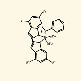 CCC[CH2][Ti]([CH2]CCC)([CH]1C(C)=Cc2c(C(C)C)cc(C(C)C)cc21)([CH]1C(C)=Cc2c(C(C)C)cc(C(C)C)cc21)[SiH](C)c1ccccc1